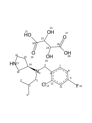 CC(C)CN(Cc1ccc(F)cc1Cl)[C@@H]1CCNC1.O=C(O)C(O)C(O)C(=O)O